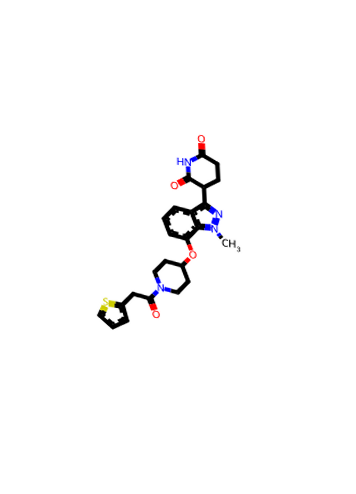 Cn1nc(C2CCC(=O)NC2=O)c2cccc(OC3CCN(C(=O)Cc4cccs4)CC3)c21